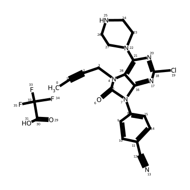 CC#CCn1c(=O)n(-c2ccc(C#N)cc2)c2nc(Cl)nc(N3CCNCC3)c21.O=C(O)C(F)(F)F